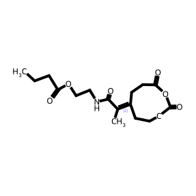 CCCC(=O)OCCNC(=O)/C(C)=C1/CCCC(=O)OC(=O)CC1